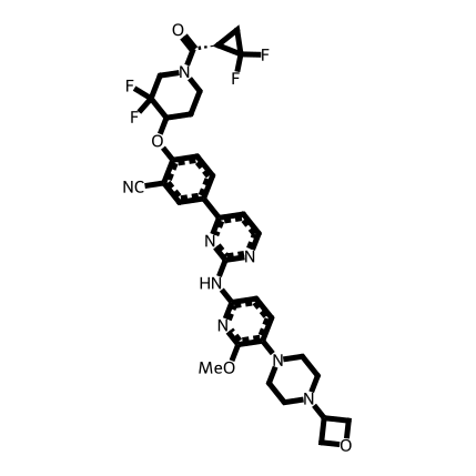 COc1nc(Nc2nccc(-c3ccc(OC4CCN(C(=O)[C@@H]5CC5(F)F)CC4(F)F)c(C#N)c3)n2)ccc1N1CCN(C2COC2)CC1